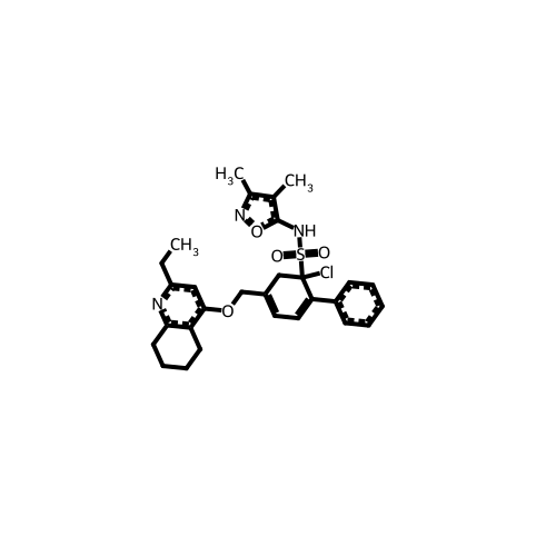 CCc1cc(OCC2=CC=C(c3ccccc3)C(Cl)(S(=O)(=O)Nc3onc(C)c3C)C2)c2c(n1)CCCC2